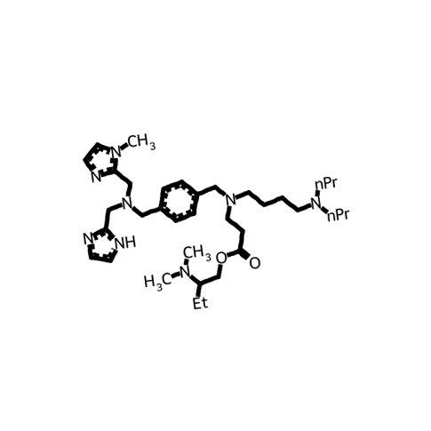 CCCN(CCC)CCCCN(CCC(=O)OCC(CC)N(C)C)Cc1ccc(CN(Cc2ncc[nH]2)Cc2nccn2C)cc1